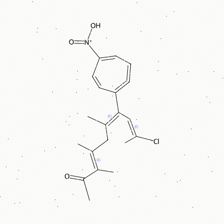 CC(=O)/C(C)=C(\C)C/C(C)=C(\C=C(/C)Cl)C1=C=CC=C([N+](=O)O)C=C1